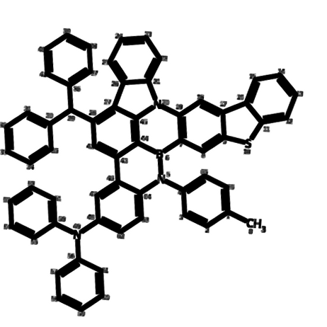 Cc1ccc(N2B3c4cc5sc6ccccc6c5cc4-n4c5ccccc5c5c(C(c6ccccc6)c6ccccc6)cc(c3c54)-c3cc(N(c4ccccc4)c4ccccc4)ccc32)cc1